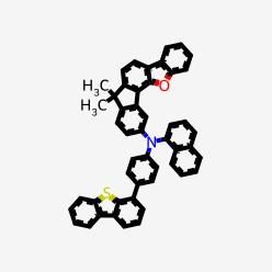 CC1(C)c2ccc(N(c3ccc(-c4cccc5c4sc4ccccc45)cc3)c3cccc4ccccc34)cc2-c2c1ccc1c2oc2ccccc21